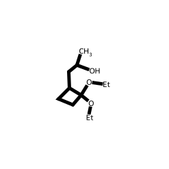 CCOC1(OCC)CCC1CC(C)O